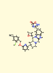 N#Cc1ccc(COc2cccc(C3CCN(Cc4nc5ccc(-c6nc(=O)o[nH]6)cc5n4CC4CCO4)CC3)n2)c(F)c1